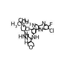 CC(C)(C)N1CCC(N2C=C([C@@H](Nc3cc(Cl)c4ncc(C#N)c(Nc5ccc(F)c(Cl)c5)c4c3)C3=CCOCC3)NN2)CC1